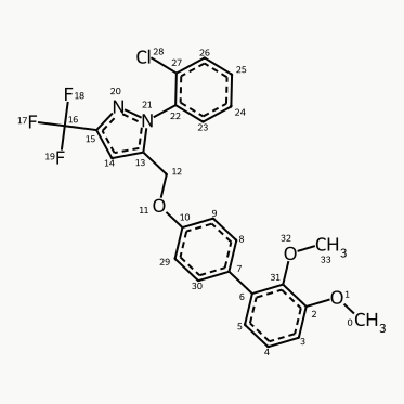 COc1cccc(-c2ccc(OCc3cc(C(F)(F)F)nn3-c3ccccc3Cl)cc2)c1OC